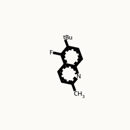 Cc1ccc2c(F)c(C(C)(C)C)ccc2n1